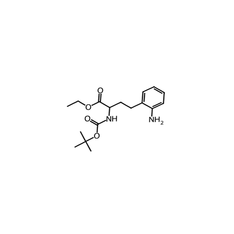 CCOC(=O)C(CCc1ccccc1N)NC(=O)OC(C)(C)C